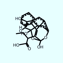 CCC(C(=O)O)C1=C(c2ccccc2)c2cc3c4cc2OC1(O)OC4(O)C(O)=C3O